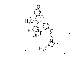 CC1=C(c2cc(F)c(O)c(F)c2)[C@@H](c2ccc(OCCN3CC[C@@H](C)C3)cc2)Oc2cc(O)ccc21